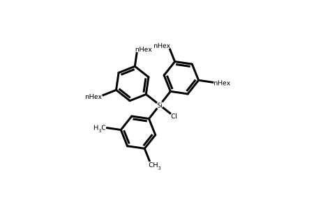 CCCCCCc1cc(CCCCCC)cc([Si](Cl)(c2cc(C)cc(C)c2)c2cc(CCCCCC)cc(CCCCCC)c2)c1